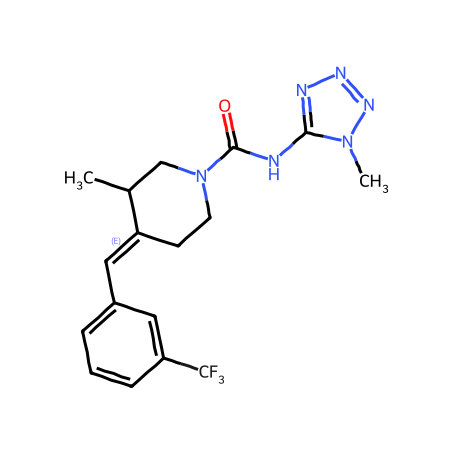 CC1CN(C(=O)Nc2nnnn2C)CC/C1=C\c1cccc(C(F)(F)F)c1